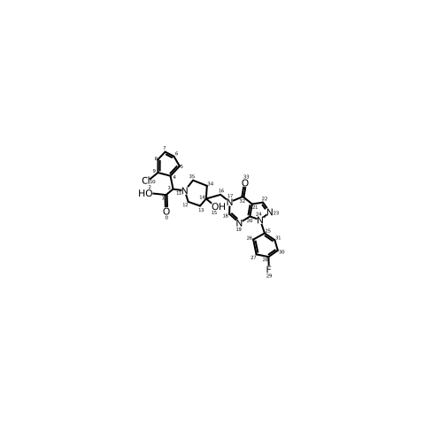 O=C(O)C(c1ccccc1Cl)N1CCC(O)(Cn2cnc3c(cnn3-c3ccc(F)cc3)c2=O)CC1